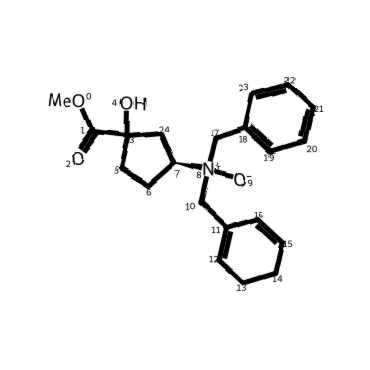 COC(=O)C1(O)CC[C@H]([N+]([O-])(CC2=CCCC=C2)Cc2ccccc2)C1